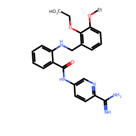 CCOc1cccc(CNc2ccccc2C(=O)Nc2ccc(C(=N)N)nc2)c1OCC(=O)O